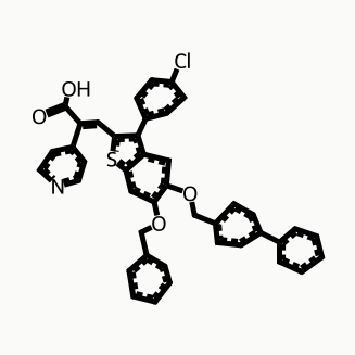 O=C(O)/C(=C/c1sc2cc(OCc3ccccc3)c(OCc3ccc(-c4ccccc4)cc3)cc2c1-c1ccc(Cl)cc1)c1ccncc1